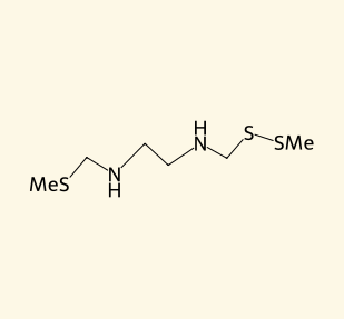 CSCNCCNCSSC